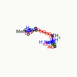 CN[C@@H](C)C(=O)NC(C(=O)N1CCC[C@H]1c1nc(-c2ccc(OCCOCCOCCOCCOCCN(C)C(=O)CCNc3nc(N4CCN(C(N)=O)CC4)c4cc(Cl)c(-c5c(O)cccc5F)c(F)c4n3)c3ccccc23)cs1)C1CCCCC1